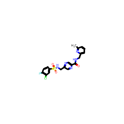 Cc1cccc(CNC(=O)c2cnc(CNS(=O)(=O)c3ccc(F)c(Cl)c3)cn2)n1